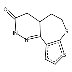 O=C1CC2CCSc3sccc3C2=NN1